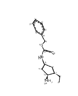 CC[C@@H]1CC(NC(=O)OCc2ccccc2)C[C@@H]1N